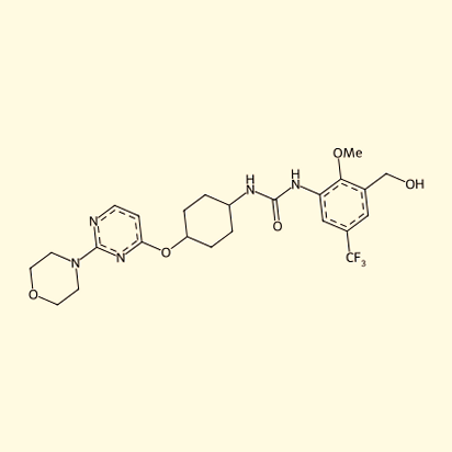 COc1c(CO)cc(C(F)(F)F)cc1NC(=O)NC1CCC(Oc2ccnc(N3CCOCC3)n2)CC1